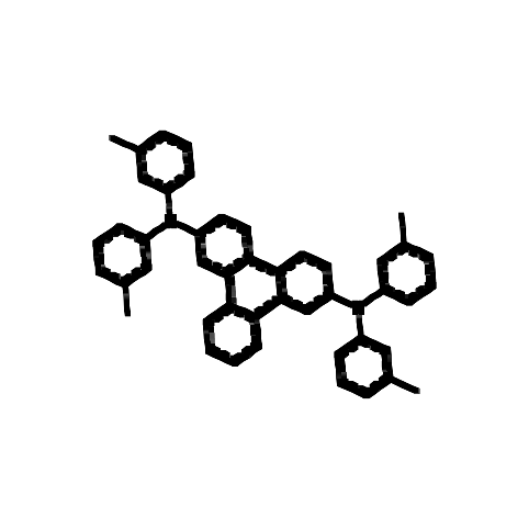 Cc1cccc(N(c2cccc(C)c2)c2ccc3c4ccc(N(c5cccc(C)c5)c5cccc(C)c5)cc4c4ccccc4c3c2)c1